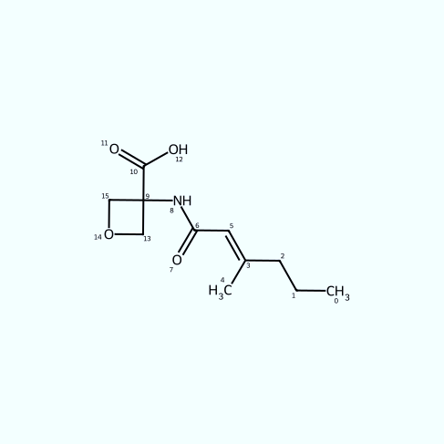 CCC/C(C)=C/C(=O)NC1(C(=O)O)COC1